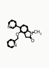 CN1C(=O)Cc2c1ccc(-c1cccnc1)c2OCc1ccccn1